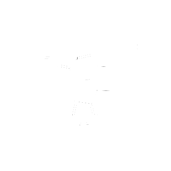 C=C(C)/C(CN(CCCCN)C(C)c1ccccn1)=N\C=C/C